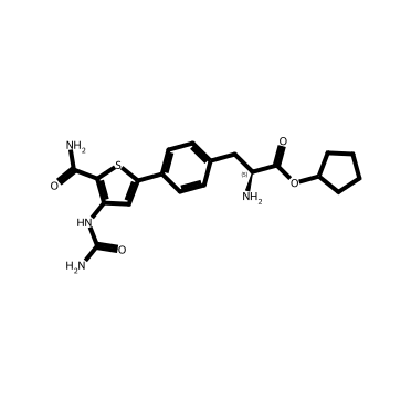 NC(=O)Nc1cc(-c2ccc(C[C@H](N)C(=O)OC3CCCC3)cc2)sc1C(N)=O